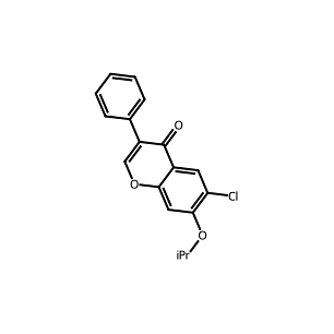 CC(C)Oc1cc2occ(-c3ccccc3)c(=O)c2cc1Cl